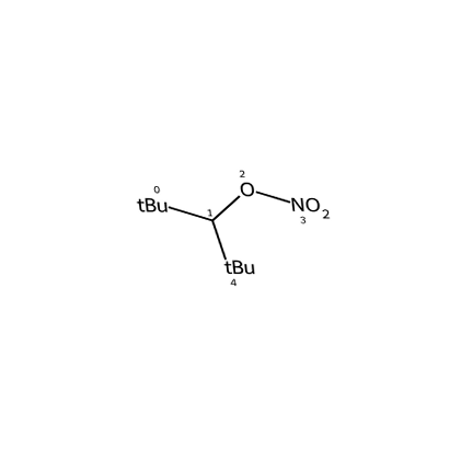 [CH2]C(C)(C)C(O[N+](=O)[O-])C(C)(C)C